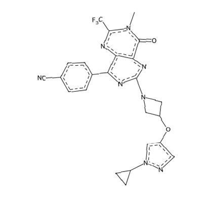 Cn1c(C(F)(F)F)nc2c(-c3ccc(C#N)cc3)nc(N3CC(Oc4cnn(C5CC5)c4)C3)nc2c1=O